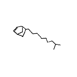 CC(C)CCCCCCCC1CC2C=CC1C2